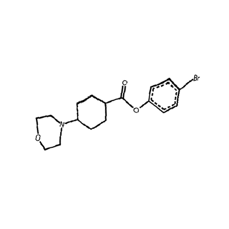 O=C(Oc1ccc(Br)cc1)C1CCC(N2CCOCC2)CC1